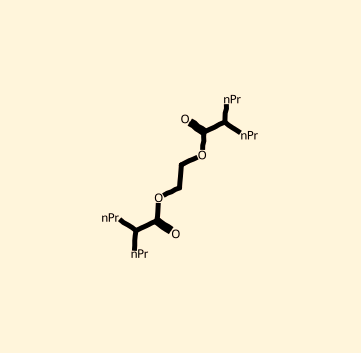 CCCC(CCC)C(=O)OCCOC(=O)C(CCC)CCC